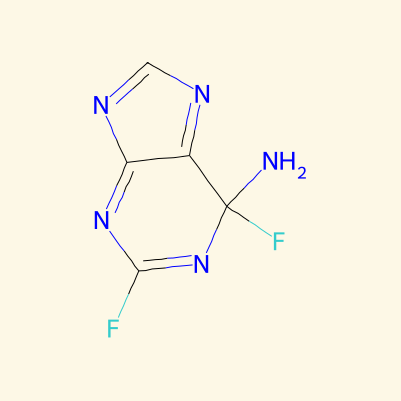 NC1(F)N=C(F)N=C2N=CN=C21